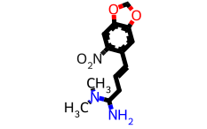 CN(C)C(N)CC=Cc1cc2c(cc1[N+](=O)[O-])OCO2